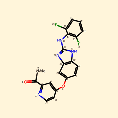 CNC(=O)c1cc(Oc2ccc3[nH]c(Nc4c(F)cccc4F)nc3c2)ccn1